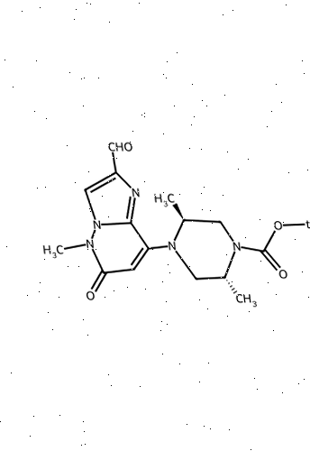 C[C@@H]1CN(c2cc(=O)n(C)n3cc(C=O)nc23)[C@@H](C)CN1C(=O)OC(C)(C)C